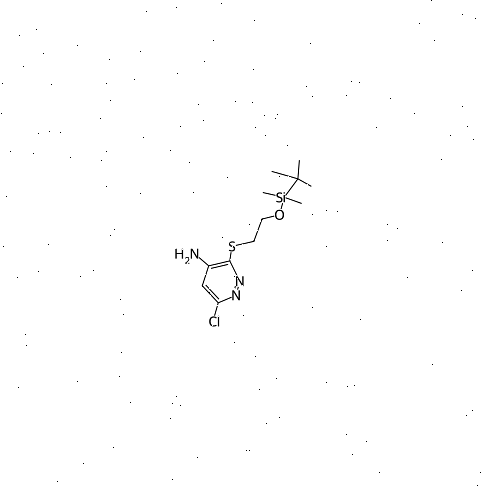 CC(C)(C)[Si](C)(C)OCCSc1nnc(Cl)cc1N